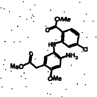 COC(=O)Cc1cc(Nc2cc(Cl)ccc2C(=O)OC)c(N)cc1OC